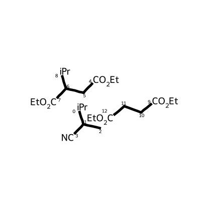 CC(C)C(C)C#N.CCOC(=O)CC(C(=O)OCC)C(C)C.CCOC(=O)CCC(=O)OCC